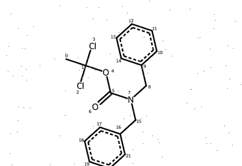 CC(Cl)(Cl)OC(=O)N(Cc1ccccc1)Cc1ccccc1